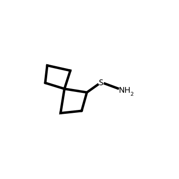 NSC1CCC12CCC2